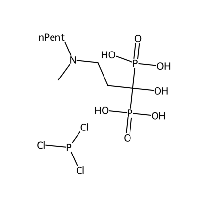 CCCCCN(C)CCC(O)(P(=O)(O)O)P(=O)(O)O.ClP(Cl)Cl